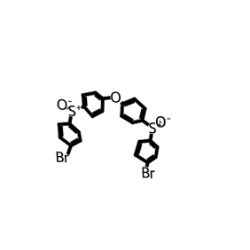 [O-][S+](c1ccc(Br)cc1)c1ccc(Oc2ccc([S+]([O-])c3ccc(Br)cc3)cc2)cc1